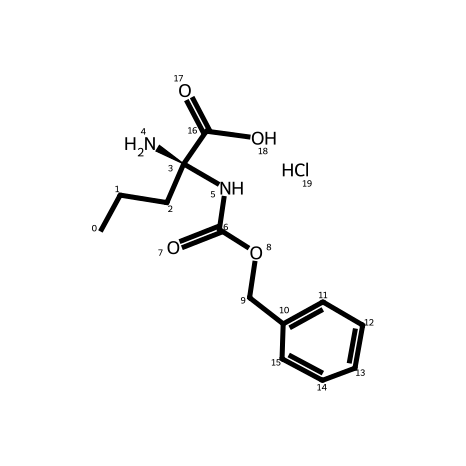 CCC[C@@](N)(NC(=O)OCc1ccccc1)C(=O)O.Cl